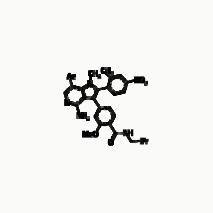 COc1cc(-c2c(-c3ccc([N+](=O)[O-])cc3C)n(C)c3c(C(C)=O)cnc(N)c23)ccc1C(=O)NCC(C)C